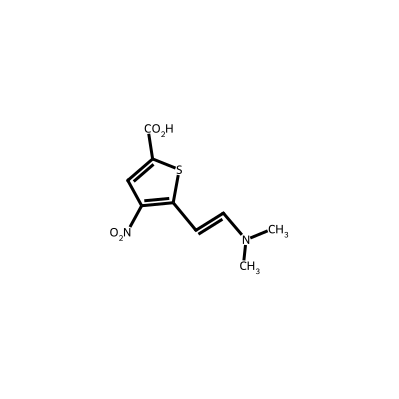 CN(C)/C=C/c1sc(C(=O)O)cc1[N+](=O)[O-]